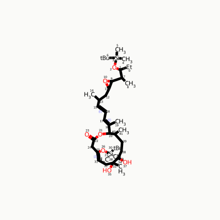 CCC(O[Si](C)(C)C(C)(C)C)C(C)C1OC1CC(C)/C=C/C=C(\C)C1OC(=O)C/C(O[Si](C)(C)C(C)(C)C)=C/CC(C)(O)C(O)CCC1C